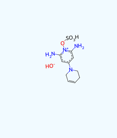 Nc1cc(N2CC=CCC2)cc(N)[n+]1OS(=O)(=O)O.[OH-]